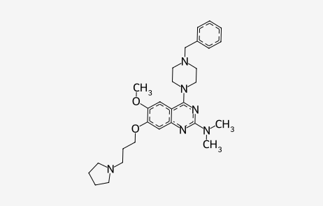 COc1cc2c(N3CCN(Cc4ccccc4)CC3)nc(N(C)C)nc2cc1OCCCN1CCCC1